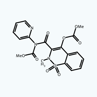 COC(=O)OC1=C(C(=O)N(C(=O)OC)c2ccccn2)N(C)S(=O)(=O)c2ccccc21